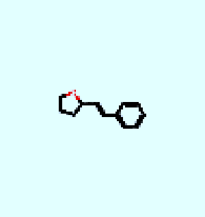 C(=CC1CCCO1)c1ccccc1